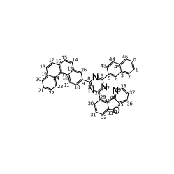 c1ccc2cc(-c3nc(-c4ccc5c(ccc6ccc7ccccc7c65)c4)nc(-c4cccc5oc6cccnc6c45)n3)ccc2c1